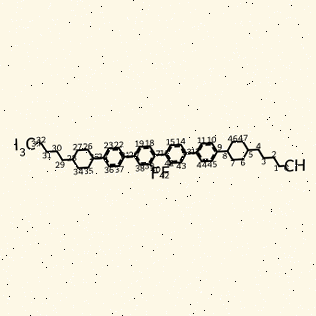 CCCCCC1CCC(c2ccc(-c3ccc(-c4ccc(-c5ccc(C6CCC(CCCCC)CC6)cc5)cc4F)c(F)c3)cc2)CC1